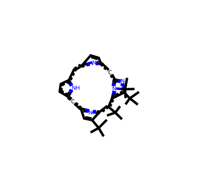 CC(C)(C)C1=Cc2cc3ccc(cc4nc(cc5nc(C(C)(C)C)c(c(C(C)(C)C)c1n2)n5C(C)(C)C)C=C4)[nH]3